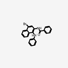 O=C(Nc1cc(Br)c2ccccc2c1Nc1ccccc1)c1ccccc1